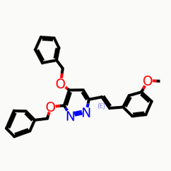 COc1cccc(/C=C/c2cc(OCc3ccccc3)c(OCc3ccccc3)nn2)c1